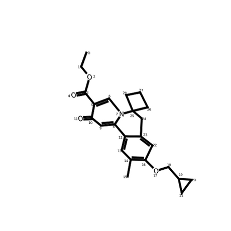 CCOC(=O)c1cn2c(cc1=O)-c1cc(C)c(OCC3CC3)cc1CC21CCC1